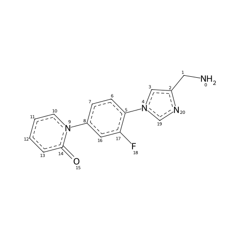 NCc1cn(-c2ccc(-n3ccccc3=O)cc2F)cn1